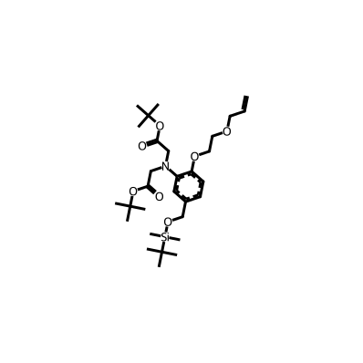 C=CCOCCOc1ccc(CO[Si](C)(C)C(C)(C)C)cc1N(CC(=O)OC(C)(C)C)CC(=O)OC(C)(C)C